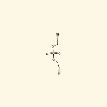 C#CCOS(=O)(=O)OCC#C